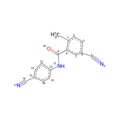 Cc1ccc(C#N)cc1C(=O)Nc1ccc(C#N)cc1